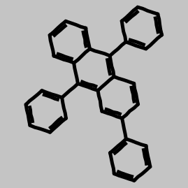 c1ccc(-c2ccc3c(-c4ccccc4)c4ccccc4c(-c4ccccc4)c3c2)cc1